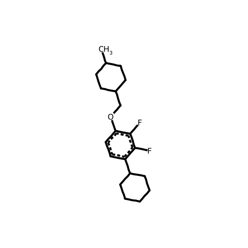 CC1CCC(COc2ccc(C3CCCCC3)c(F)c2F)CC1